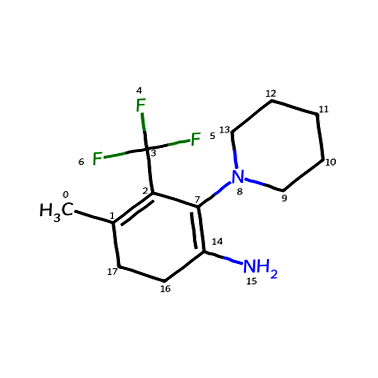 CC1=C(C(F)(F)F)C(N2CCCCC2)=C(N)CC1